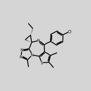 CC[C@H]1C[C@@]12N=C(c1ccc(Cl)cc1)c1c(sc(C)c1C)-n1c(C)nnc12